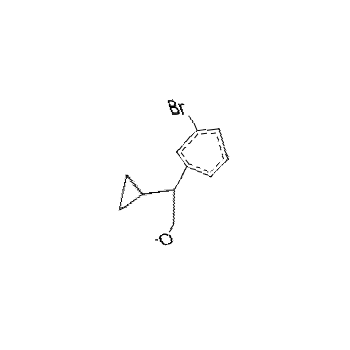 [O]CC(c1cccc(Br)c1)C1CC1